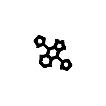 c1csc(-c2c3nccnc3c(-c3cccs3)c3nsnc23)c1